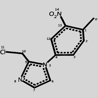 Cc1ccc(-n2ccnc2CCl)cc1[N+](=O)[O-]